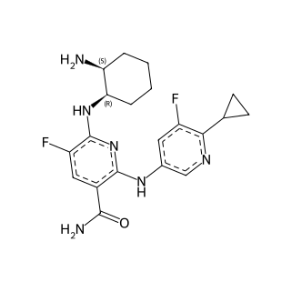 NC(=O)c1cc(F)c(N[C@@H]2CCCC[C@@H]2N)nc1Nc1cnc(C2CC2)c(F)c1